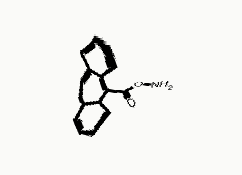 NOC(=O)C1=c2ccccc2=CC2C=CC=CC12